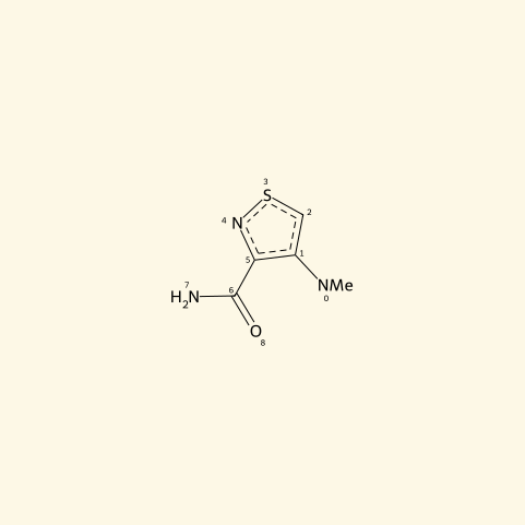 CNc1csnc1C(N)=O